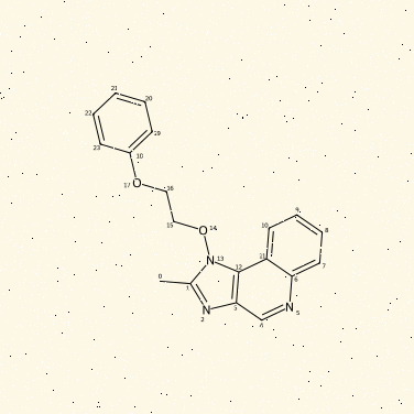 Cc1nc2cnc3ccccc3c2n1OCCOc1ccccc1